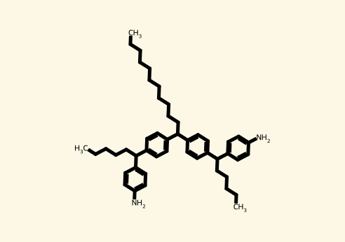 CCCCCCCCCCCC(c1ccc(C(CCCCC)c2ccc(N)cc2)cc1)c1ccc(C(CCCCC)c2ccc(N)cc2)cc1